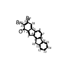 O=C1C2=Cc3c(ccc4c3Cc3ccccc3-4)C2=CC(Br)=C1Br